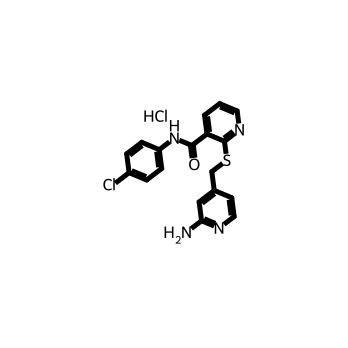 Cl.Nc1cc(CSc2ncccc2C(=O)Nc2ccc(Cl)cc2)ccn1